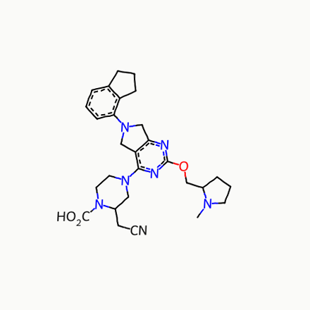 CN1CCCC1COc1nc2c(c(N3CCN(C(=O)O)C(CC#N)C3)n1)CN(c1cccc3c1CCC3)C2